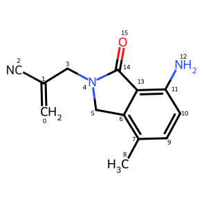 C=C(C#N)CN1Cc2c(C)ccc(N)c2C1=O